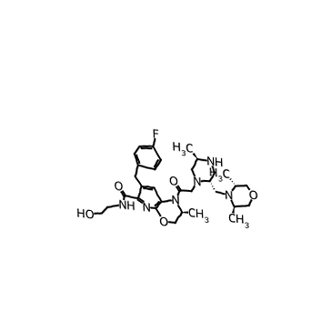 C[C@@H]1CN(CC(=O)N2c3cc(Cc4ccc(F)cc4)c(C(=O)NCCO)nc3OC[C@@H]2C)[C@@H](CN2[C@H](C)COC[C@H]2C)CN1